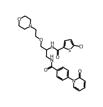 O=C(NCC(COCCN1CCOCC1)NC(=O)c1ccc(Cl)s1)c1ccc(-n2ccccc2=O)cc1